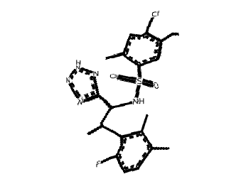 Cc1cc(S(=O)(=O)NC(c2nn[nH]n2)C(C)c2c(F)ccc(C)c2C)c(C)cc1Cl